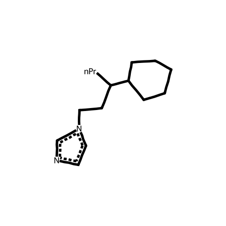 CCCC(CCn1ccnc1)C1CCCCC1